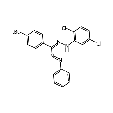 CC(C)(C)c1ccc(C(N=Nc2ccccc2)=NNc2cc(Cl)ccc2Cl)cc1